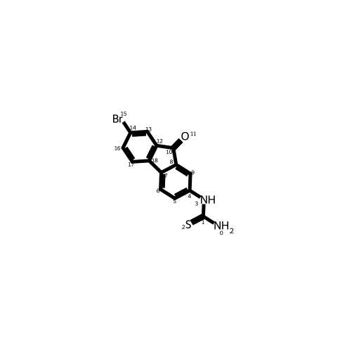 NC(=S)Nc1ccc2c(c1)C(=O)c1cc(Br)ccc1-2